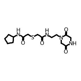 O=C(CSCC(=O)NC1CCCC1)NCCN1CC(=O)NCC1=O